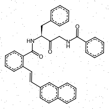 O=C(NCC(=O)[C@H](Cc1ccccc1)NC(=O)c1ccccc1C=Cc1ccc2ccccc2c1)c1ccccc1